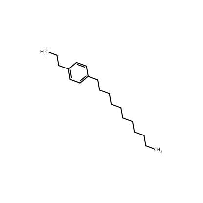 C[CH]Cc1ccc(CCCCCCCCCCC)cc1